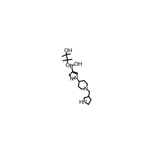 CC(C)(O)C(C)(C)OB(O)c1cnn(C2CCN(CC3CCNC3)CC2)c1